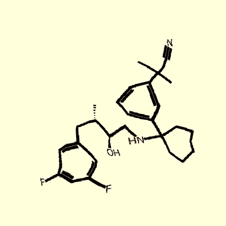 C[C@@H](Cc1cc(F)cc(F)c1)[C@H](O)CNC1(c2cccc(C(C)(C)C#N)c2)CCCCC1